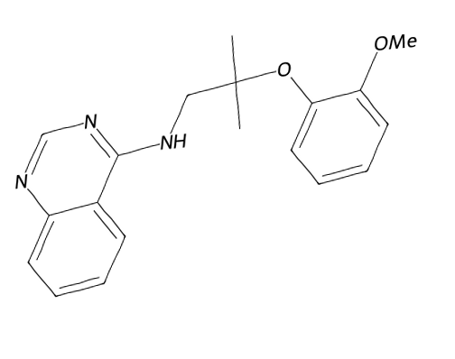 COc1ccccc1OC(C)(C)CNc1ncnc2ccccc12